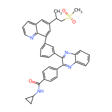 CC(CS(C)(=O)=O)c1cc(-c2cccc(-c3nc4ccccc4nc3-c3ccc(C(=O)NC4CC4)cc3)c2)c2ncccc2c1